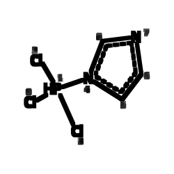 Cl[PH](Cl)(Cl)n1ccnc1